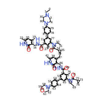 CCN1CCN(c2ccc(-c3cc(C(=O)NCc4c(C)cc(C)[nH]c4=O)c(C)c(N(CC)C(=O)C4CC4Cc4cc(C)[nH]c(=O)c4CNC(=O)c4cc(-c5ccc(N6CCOCC6)cc5)cc(N(CC)C(=O)C5CC5)c4C)c3)cc2)CC1